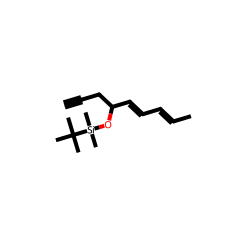 C#CCC(/C=C/C=C/C)O[Si](C)(C)C(C)(C)C